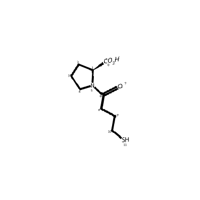 O=C(O)[C@@H]1CCCN1C(=O)CCCS